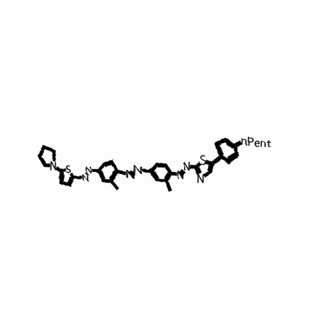 CCCCCc1ccc(-c2cnc(/N=N/c3ccc(/N=N/c4ccc(/N=N/c5ccc(N6CCCC6)s5)cc4C)cc3C)s2)cc1